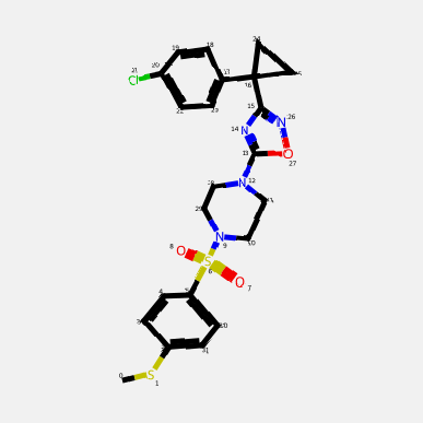 CSc1ccc(S(=O)(=O)N2CCN(c3nc(C4(c5ccc(Cl)cc5)CC4)no3)CC2)cc1